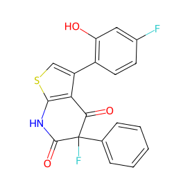 O=C1Nc2scc(-c3ccc(F)cc3O)c2C(=O)C1(F)c1ccccc1